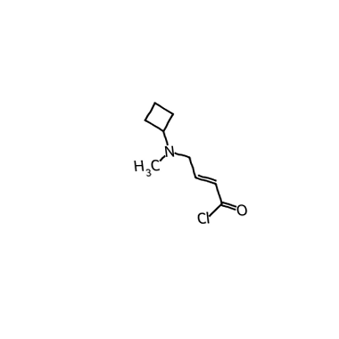 CN(CC=CC(=O)Cl)C1CCC1